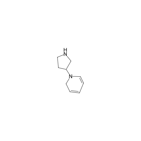 C1=CCN(C2CCNC2)C=C1